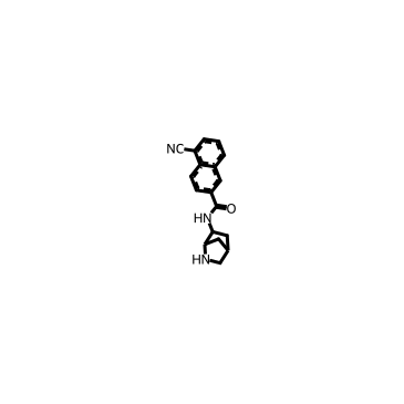 N#Cc1cccc2cc(C(=O)NC3CC4CNC3C4)ccc12